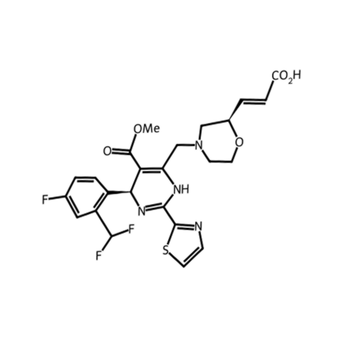 COC(=O)C1=C(CN2CCO[C@H](/C=C/C(=O)O)C2)NC(c2nccs2)=N[C@H]1c1ccc(F)cc1C(F)F